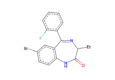 CCC1N=C(c2ccccc2F)c2cc(Br)ccc2NC1=O